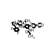 C=CC(=O)Nc1cc(Nc2cc(N3OCCC3c3ccc(F)cc3F)ncn2)c(OC)cc1N1CCC(N2CCOCC2)CC1